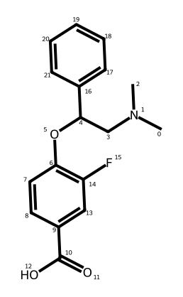 CN(C)CC(Oc1ccc(C(=O)O)cc1F)c1ccccc1